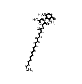 CCCCCCCCCCCCCCCCCC(=O)SCC(=O)N(CC(=O)O)c1c(C)ccc(Br)c1C